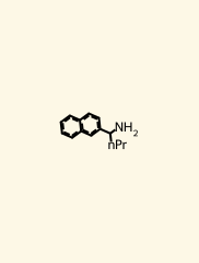 CCCC(N)c1ccc2ccccc2c1